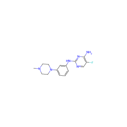 CN1CCN(c2cccc(Nc3ncc(F)c(N)n3)c2)CC1